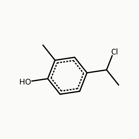 Cc1cc(C(C)Cl)ccc1O